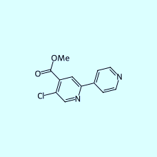 COC(=O)c1cc(-c2ccncc2)ncc1Cl